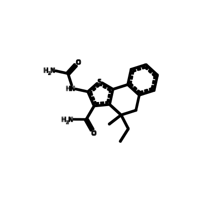 CCC1(C)Cc2ccccc2-c2sc(NC(N)=O)c(C(N)=O)c21